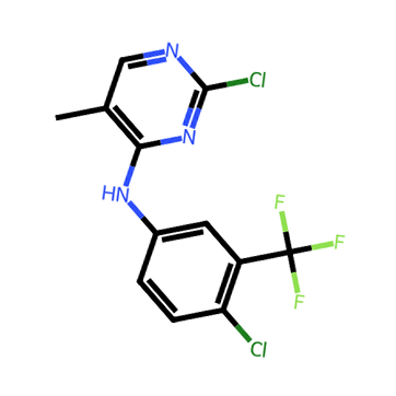 Cc1cnc(Cl)nc1Nc1ccc(Cl)c(C(F)(F)F)c1